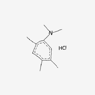 Cc1cc(C)c(N(C)C)cc1C.Cl